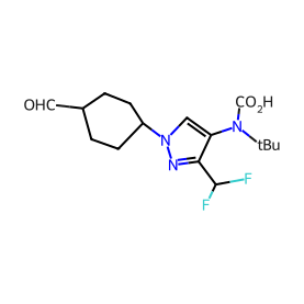 CC(C)(C)N(C(=O)O)c1cn(C2CCC(C=O)CC2)nc1C(F)F